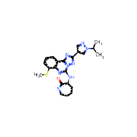 CSc1cccc2c1nc(Nc1ccccnc1=O)n1nc(-c3cnn(C(C)C)c3)nc21